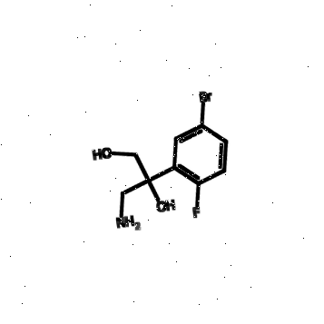 NCC(O)(CO)c1cc(Br)ccc1F